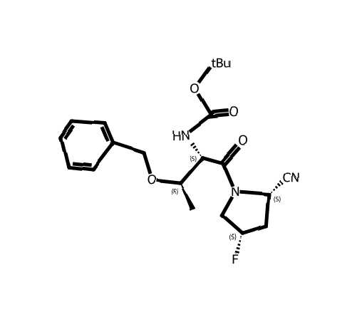 C[C@@H](OCc1ccccc1)[C@H](NC(=O)OC(C)(C)C)C(=O)N1C[C@@H](F)C[C@H]1C#N